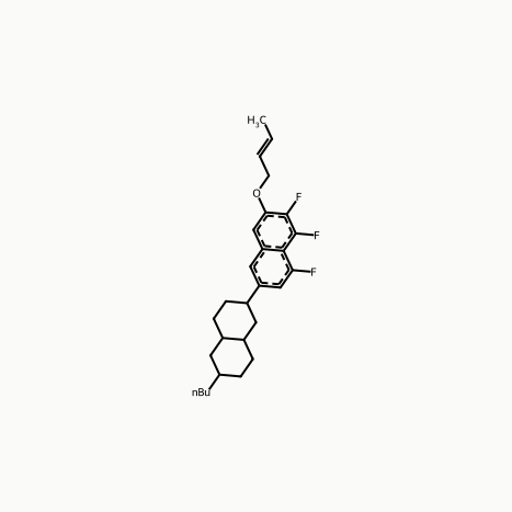 CC=CCOc1cc2cc(C3CCC4CC(CCCC)CCC4C3)cc(F)c2c(F)c1F